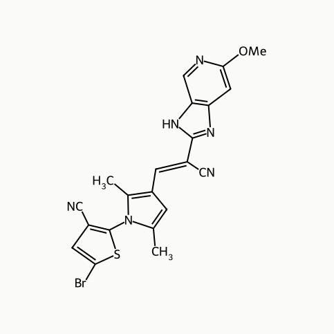 COc1cc2nc(/C(C#N)=C/c3cc(C)n(-c4sc(Br)cc4C#N)c3C)[nH]c2cn1